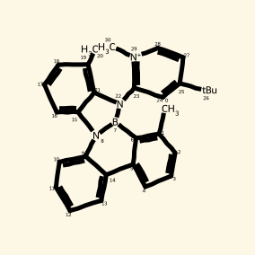 Cc1cccc2c1B1N(c3ccccc3-2)c2cccc(C)c2N1c1cc(C(C)(C)C)cc[n+]1C